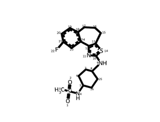 CS(=O)(=O)NC1CCC(Nc2nc3c(s2)CCCc2ccc(F)cc2-3)CC1